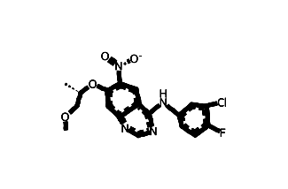 COC[C@H](C)Oc1cc2ncnc(Nc3ccc(F)c(Cl)c3)c2cc1[N+](=O)[O-]